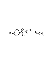 CC=Cc1ccc(S(=O)(=O)c2ccc(O)cc2)cc1